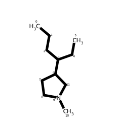 CCCC(CC)C1CCN(C)C1